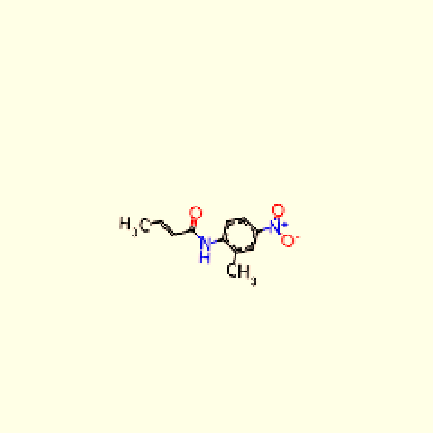 CC=CC(=O)Nc1ccc([N+](=O)[O-])cc1C